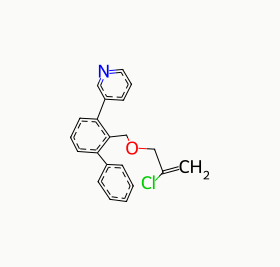 C=C(Cl)COCc1c(-c2ccccc2)cccc1-c1cccnc1